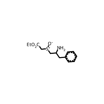 CCOC(=O)C[S+]([O-])CC(N)Cc1ccccc1